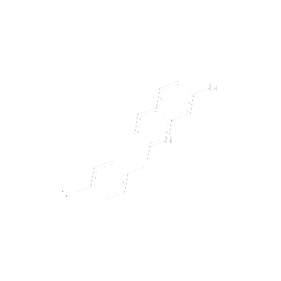 Cc1cc(Oc2ccc(C#N)cc2)nc2cc(Br)ccc12